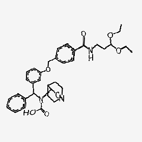 CCOC(CCNC(=O)c1ccc(COc2cccc(C(c3ccccc3)N(C(=O)O)C3CN4CCC3CC4)c2)cc1)OCC